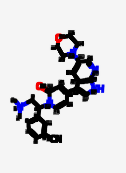 CN(C)CC(c1cccc(C#N)c1)n1ccc(-c2c[nH]c3ncc(N4CCOCC4)cc23)cc1=O